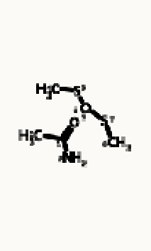 CC(N)=O.CSOSC